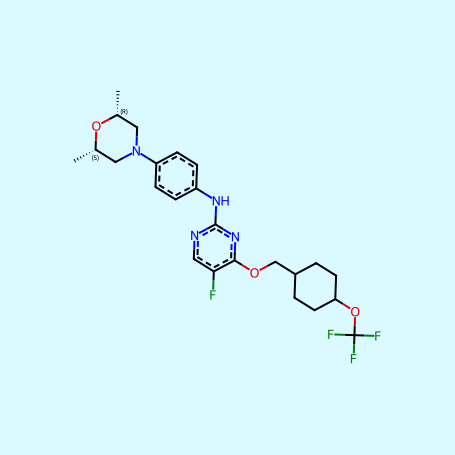 C[C@@H]1CN(c2ccc(Nc3ncc(F)c(OCC4CCC(OC(F)(F)F)CC4)n3)cc2)C[C@H](C)O1